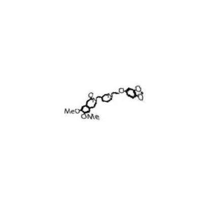 COc1cc2c(cc1OC)CC(=O)N(CC1CCCN(CCOc3ccc4c(c3)OCO4)C1)CC2